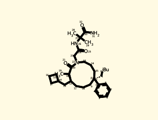 CCC(C)C[C@]1(c2ccccc2)CCCC(CC2CCC2)C(C)C(=O)N(CC(=O)NC(C)(C)C(N)=O)CCC1